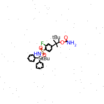 CC(C)(C)C(OC(N)=O)C(C)(C)c1ccc(S(=O)(=O)N[Si](c2ccccc2)(c2ccccc2)C(C)(C)C)c(F)c1